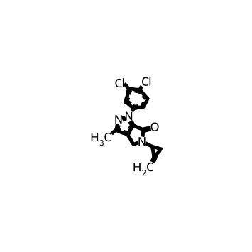 C=C1CC1N1Cc2c(C)nn(-c3ccc(Cl)c(Cl)c3)c2C1=O